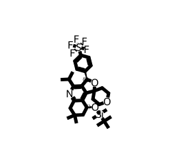 CC(C)c1nc2c(c3c1[C@@H](c1ccc(S(F)(F)(F)(F)F)cc1)OC31CCOCC1)[C@@H](O[Si](C)(C)C(C)(C)C)CC(C)(C)C2